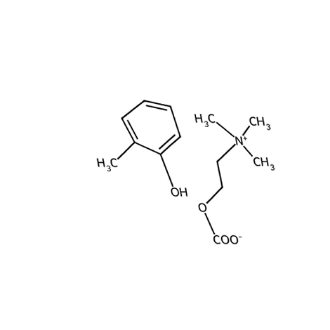 C[N+](C)(C)CCOC(=O)[O-].Cc1ccccc1O